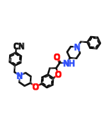 N#Cc1ccc(CN2CCC(Oc3ccc4c(c3)CC(C(=O)NC3CCN(Cc5ccccc5)CC3)O4)CC2)cc1